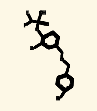 O=P(O)(Oc1ccc(COCc2ccc(Br)cc2)cc1Br)C(F)F